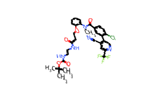 CN(C(=O)c1ccc(Cl)c(-c2cnc(C(F)(F)F)cc2C#N)c1)c1ccccc1OCCC(=O)NCCNC(=O)OC(C)(C)C